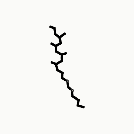 CCCCOCOCCCC(C)CC(C)CC(C)CC(C)CCC